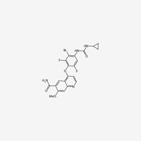 COc1cc2nccc(Oc3c(F)cc(NC(=O)NC4CC4)c(Br)c3F)c2cc1C(N)=O